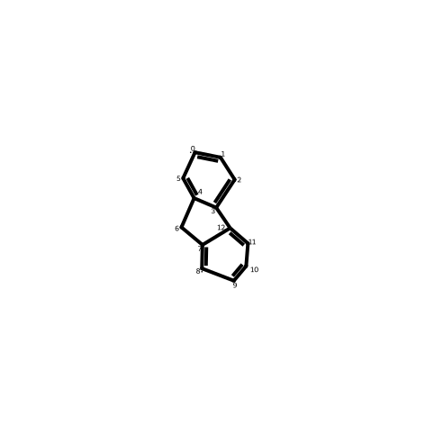 [c]1ccc2c(c1)Cc1[c]cccc1-2